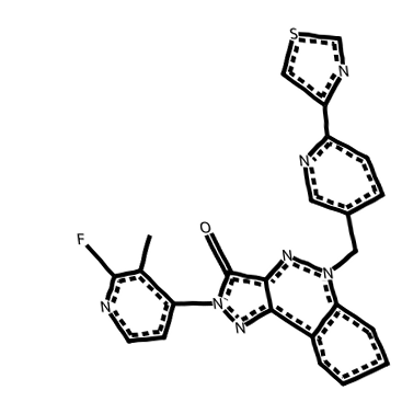 Cc1c(-n2nc3c4ccccc4n(Cc4ccc(-c5cscn5)nc4)nc-3c2=O)ccnc1F